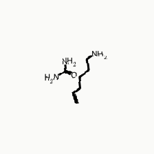 C=CCCCCN.NC(N)=O